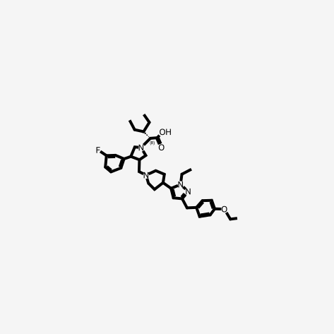 CCOc1ccc(Cc2cc(C3CCN(CC4CN([C@@H](C(=O)O)C(CC)CC)CC4c4cccc(F)c4)CC3)n(CC)n2)cc1